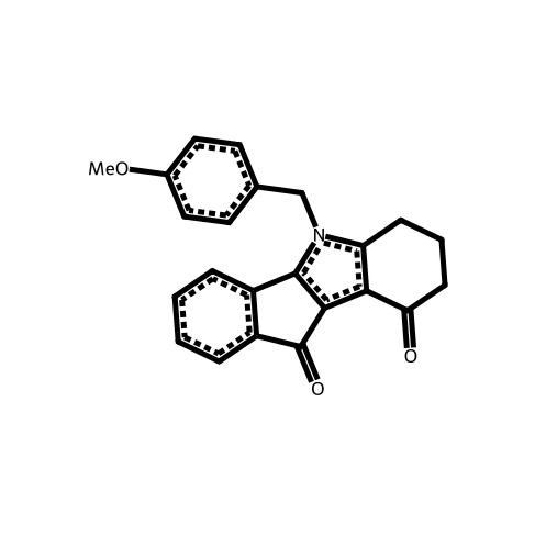 COc1ccc(Cn2c3c(c4c2-c2ccccc2C4=O)C(=O)CCC3)cc1